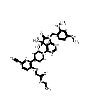 CCOC(=O)CNc1ccc(C#N)nc1C1CCN(c2ncnc3c2C(C)(C)C(=O)N3Cc2ccc(OC)cc2OC)CC1